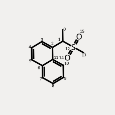 CC(c1cccc2ccccc12)S(C)(=O)=O